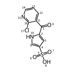 O=C(c1cc(S(=O)(=O)O)c[nH]1)c1cccnc1Cl